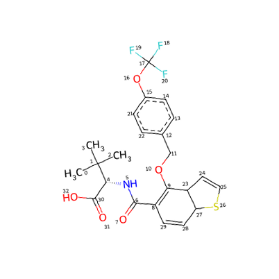 CC(C)(C)[C@H](NC(=O)C1=C(OCc2ccc(OC(F)(F)F)cc2)C2C=CSC2C=C1)C(=O)O